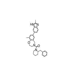 Cc1nc2ccc(-c3cc(C)c4c(c3)CN(C(=O)N3CCCCC3Cc3ccccc3)CCO4)cc2[nH]1